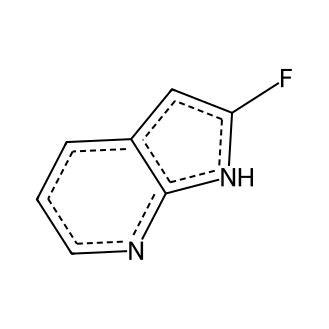 Fc1cc2cccnc2[nH]1